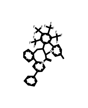 C=C1C2C(Cc3ccccc3-c3cc(-c4ccccc4)cc[n+]31)c1c(c(C(F)(F)F)c(C(F)(F)F)c(C(F)(F)F)c1C(F)(F)F)-c1ccc(C)c[n+]12